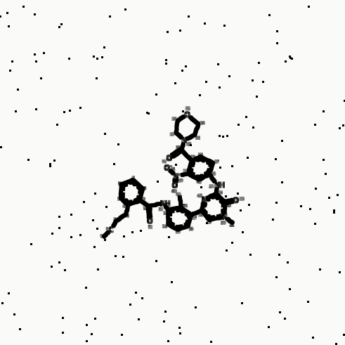 CCCCc1ccccc1C(=O)Nc1cccc(-c2cn(C)c(=O)c(Nc3ccc(C(=O)N4CCOCC4)c([N+](=O)[O-])c3)n2)c1C